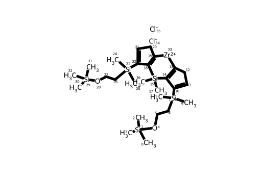 C[Si](C)(C)OCC[Si](C)(C)C1=CC[C]2=C1[Si](C)(C)C1=[C](CC=C1[Si](C)(C)CCO[Si](C)(C)C)[Zr+2]2.[Cl-].[Cl-]